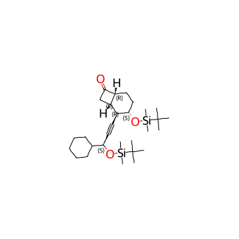 CC(C)(C)[Si](C)(C)O[C@H]1CC[C@H]2C(=O)C[C@H]2[C@@H]1C#C[C@@H](O[Si](C)(C)C(C)(C)C)C1CCCCC1